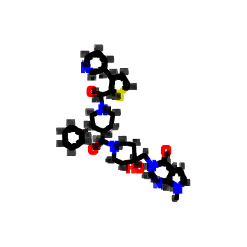 Cn1ccc2c(=O)n(CC3(O)CCN(C(=O)[C@@H]4CCN(C(=O)c5sccc5-c5cccnc5)C[C@H]4c4ccccc4)CC3)cnc21